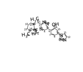 C=C(c1ncc(-c2ccc(-n3ccnn3)cc2O)nn1)[C@H]1CCC[C@@](C)(CCC)[C@@H]1F